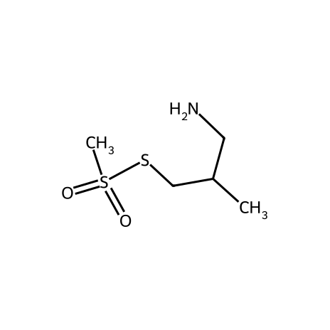 CC(CN)CSS(C)(=O)=O